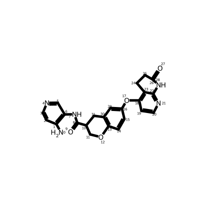 Nc1ccncc1NC(=O)C1COc2ccc(Oc3ccnc4c3CCC(=O)N4)cc2C1